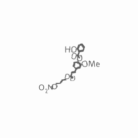 COc1cc(/C=C/C(=O)OCCCCO[N+](=O)[O-])ccc1OC(=O)c1ccccc1O